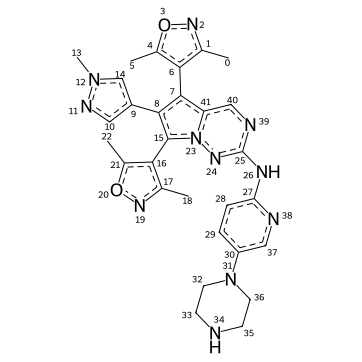 Cc1noc(C)c1-c1c(-c2cnn(C)c2)c(-c2c(C)noc2C)n2nc(Nc3ccc(N4CCNCC4)cn3)ncc12